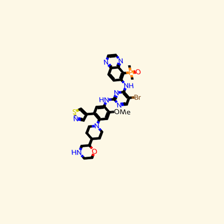 COc1cc(N2CCC(C3CNCCO3)CC2)c(-c2cnsc2)cc1Nc1ncc(Br)c(Nc2ccc3nccnc3c2P(C)(C)=O)n1